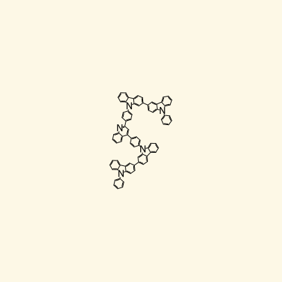 c1ccc(-n2c3ccccc3c3cc(-c4ccc5c6ccccc6n(-c6ccc(-c7cc(-c8ccc(-n9c%10ccccc%10c%10ccc(-c%11ccc%12c(c%11)c%11ccccc%11n%12-c%11ccccc%11)cc%109)cc8)c8ccccc8n7)cc6)c5c4)ccc32)cc1